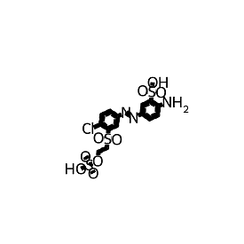 Nc1ccc(N=Nc2ccc(Cl)c(S(=O)(=O)CCOS(=O)(=O)O)c2)cc1S(=O)(=O)O